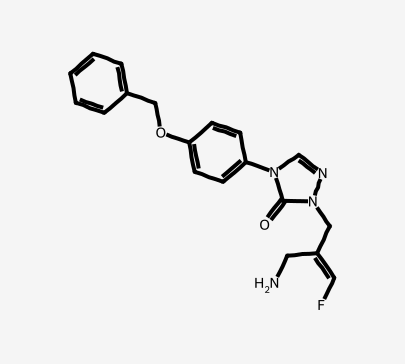 NC/C(=C\F)Cn1ncn(-c2ccc(OCc3ccccc3)cc2)c1=O